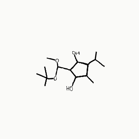 COC(OC(C)(C)C)C1C(O)C(C)C(C(C)C)C1O